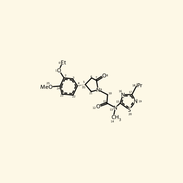 CCOc1cc([C@@H]2CC(=O)N(CC(=O)N(C)c3nc(C(C)C)ns3)C2)ccc1OC